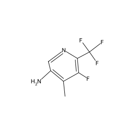 Cc1c(N)cnc(C(F)(F)F)c1F